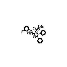 CC(C)(C)OC(=O)N1C(NCc2cccc(F)c2)=N[C@H](c2ccccc2)[C@@H]1c1ccccc1